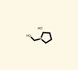 Cl.OCN1CCCC1